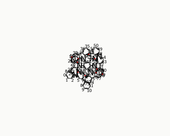 c1ccc(-c2cc(-c3ccccc3)nc(-c3c(-n4c5ccccc5c5ccncc54)c(-n4c5ccccc5c5ccncc54)c(-c4nc5ccccc5s4)c(-n4c5ccccc5c5ccncc54)c3-n3c4ccccc4c4ccncc43)n2)cc1